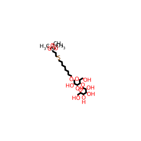 CO[Si](CCCSCCCCCCCCO[C@@H]1OC(CO)[C@@H](O[C@@H]2OC(CO)[C@H](O)[C@H](O)C2O)[C@H](O)C1O)(OC)OC